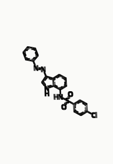 O=S(=O)(Nc1cccc2c(N=Nc3ccccc3)c[nH]c12)c1ccc(Cl)cc1